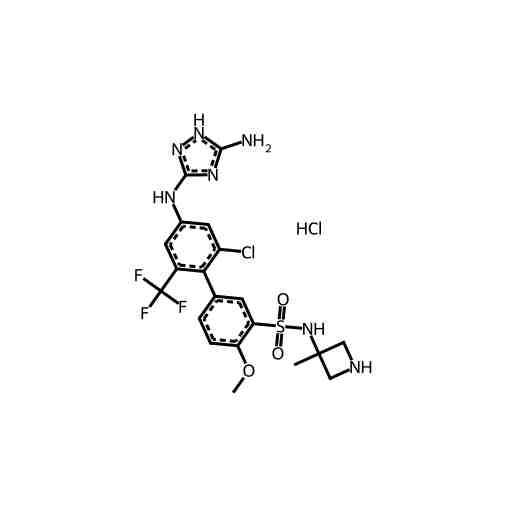 COc1ccc(-c2c(Cl)cc(Nc3n[nH]c(N)n3)cc2C(F)(F)F)cc1S(=O)(=O)NC1(C)CNC1.Cl